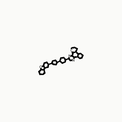 c1ccc2c(c1)oc1ccc(-c3ccc(-c4ccc(-c5cnc6c7ccccc7c7ccccc7c6n5)cc4)cc3)cc12